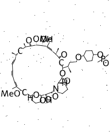 CO[C@H]1C[C@@H]2CC[C@@H](C)[C@@](O)(O2)C(=O)C(=O)N2CCCC[C@H]2C(=O)O[C@H]([C@H](C)CCOC2CCC(OP(C)(C)=O)CC2)CC(=O)[C@H](C)/C=C(\C)[C@@H](O)[C@@H](OC)C(=O)[C@H](C)C[C@H](C)/C=C/C=C/C=C\1C